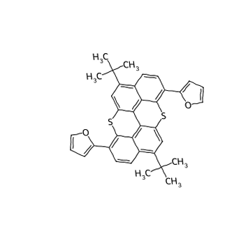 CC(C)(C)c1cc2sc3c(-c4ccco4)ccc4c(C(C)(C)C)cc5sc6c(-c7ccco7)ccc1c6c2-c5c43